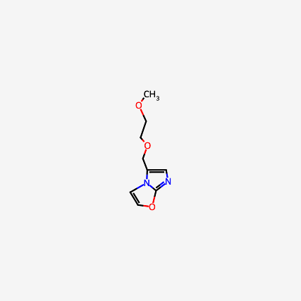 COCCOCc1cnc2occn12